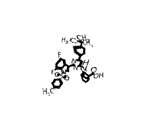 Cc1ccc(S(=O)(=O)n2cc(-c3nc(NC4C5CCC(CC5)C4C(=O)O)cc(-c4ccc(C(C)(C)C)cc4)n3)c3cc(F)cc(F)c32)cc1